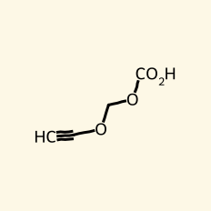 C#COCOC(=O)O